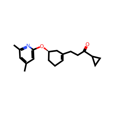 Cc1cc(C)nc(O[C@@H]2CCC=C(CCC(=O)C3CC3)C2)c1